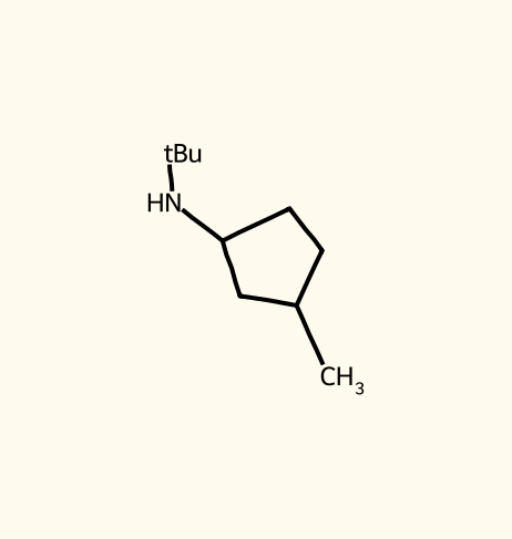 CC1CCC(NC(C)(C)C)C1